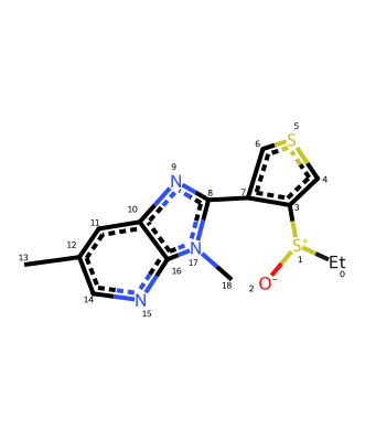 CC[S+]([O-])c1cscc1-c1nc2cc(C)cnc2n1C